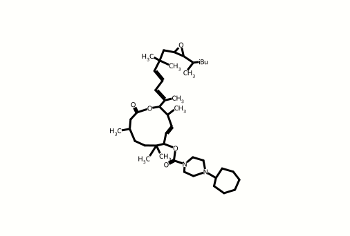 CCC(C)C(C)C1OC1CC(C)(C)/C=C/C=C(\C)C1OC(=O)CC(C)CCC(C)(C)C(OC(=O)N2CCN(C3CCCCCC3)CC2)/C=C/C1C